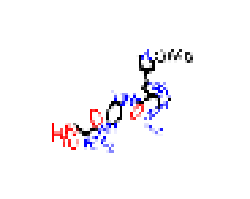 COc1cc(-c2cc(C(=O)NC3CCC(NC(=O)[C@H](N)CO)CC3)c3c(N)ncnn23)ccn1